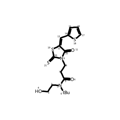 CC(C)(C)N(CCO)C(=O)CCN1C(=O)/C(=C\c2cccs2)SC1=S